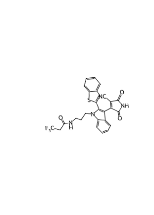 N#CC1=C(c2c(-c3cc4ccccc4s3)n(CCCNC(=O)CC(F)(F)F)c3ccccc23)C(=O)NC1=O